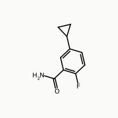 NC(=O)c1cc(C2CC2)ccc1F